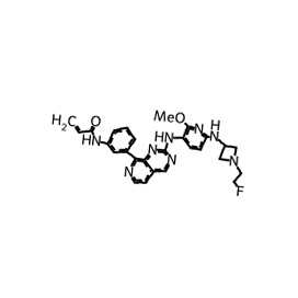 C=CC(=O)Nc1cccc(-c2nccc3cnc(Nc4ccc(NC5CN(CCF)C5)nc4OC)nc23)c1